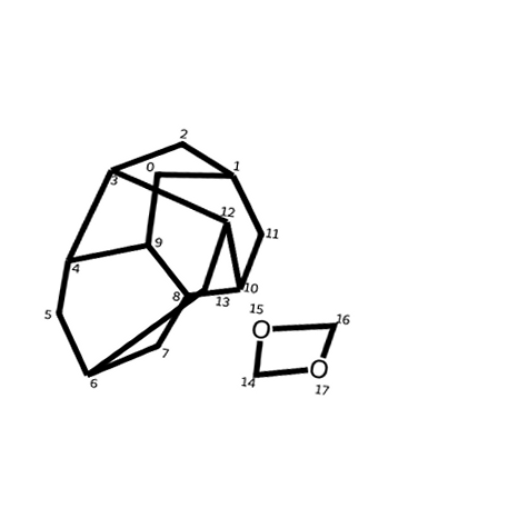 C1C2CC3C4CC5CC(C14)C(C2)C3C5.C1OCO1